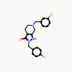 O=c1c2c([nH]n1Cc1ccc(F)cc1)CN(Cc1cccc(Cl)c1)CC2